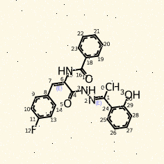 C/C(=N\NC(=O)/C(=C\c1ccc(F)cc1)NC(=O)c1ccccc1)c1ccccc1O